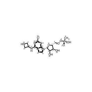 CP(=O)(O)OOC[C@H]1O[C@@H](n2ccc3c(NC4CNC4)nc(Cl)nc32)[C@H](O)[C@@H]1O